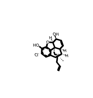 C=CC[N@@+]1(C)CC[C@]23c4c5ccc(O)c4O[C@H]2[C@@H](O)C=C[C@H]3[C@H]1C5.[Cl-]